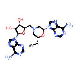 CC(C)C[C@@H]1CN(C[C@H]2O[C@@H](n3cnc4c(N)ncnc43)[C@H](O)[C@@H]2O)C[C@H](n2cnc3c(N)ncnc32)O1